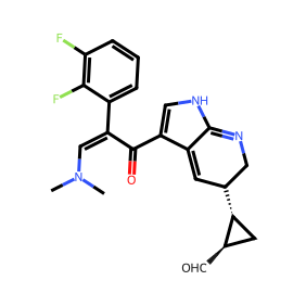 CN(C)/C=C(\C(=O)c1c[nH]c2c1=CC([C@@H]1C[C@H]1C=O)CN=2)c1cccc(F)c1F